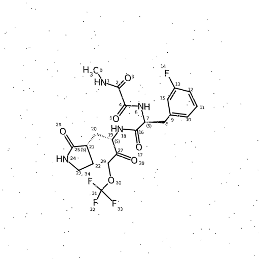 CNC(=O)C(=O)N[C@@H](Cc1cccc(F)c1)C(=O)N[C@@H](C[C@@H]1CCNC1=O)C(=O)COC(F)(F)F